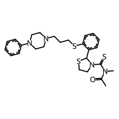 CC(=O)N(C)C(=S)N1CCSC1c1ccccc1SCCCN1CCN(c2ccccc2)CC1